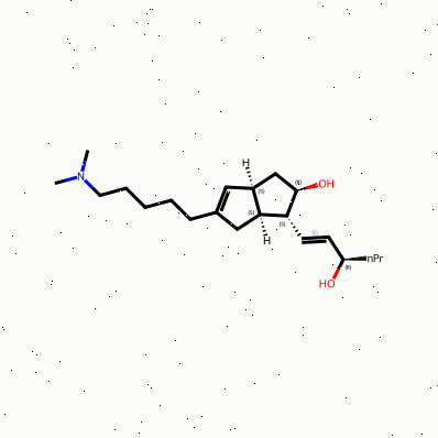 CCC[C@@H](O)/C=C/[C@@H]1[C@H]2CC(CCCCCN(C)C)=C[C@H]2C[C@H]1O